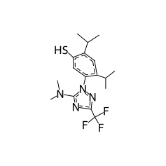 CC(C)c1cc(C(C)C)c(-n2nc(C(F)(F)F)nc2N(C)C)cc1S